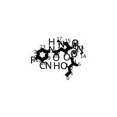 C=C[C@H](O)C(C)COc1c(S(=O)(=O)N=C)cn(C)c1C(=O)Nc1ccc(F)c(C#N)c1